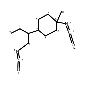 CCC(CN=C=O)C1CCC(C)(N=C=O)CC1